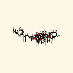 CSC(=NC#N)NCCCOc1ccc(CCN2C3CCC2CC(NC(=O)c2ccc(F)c(Cl)c2)C3)c(C)c1C